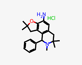 CN1C(c2ccccc2)c2c(cc(N)c3c2CC(C)(C)O3)CC1(C)C.Cl